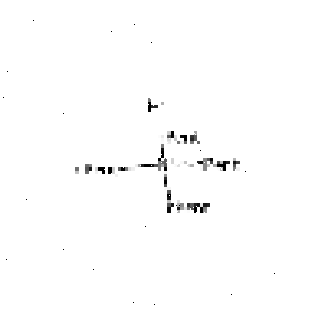 CCCCC[N+](CCCCC)(CCCCC)CCCCC.[H-]